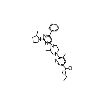 CCOC(=O)c1cnc(N2CCN(c3cc(-c4ccccc4)nc(N4CCCC4C)n3)C(C)C2)c(C)c1